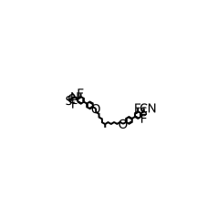 CC(CCCCCOc1ccc(-c2cc(F)c(N=C=S)c(F)c2)cc1)CCCCCOc1ccc(-c2cc(F)c(SC#N)c(F)c2)cc1